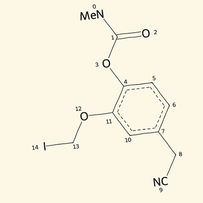 CNC(=O)Oc1ccc(CC#N)cc1OCI